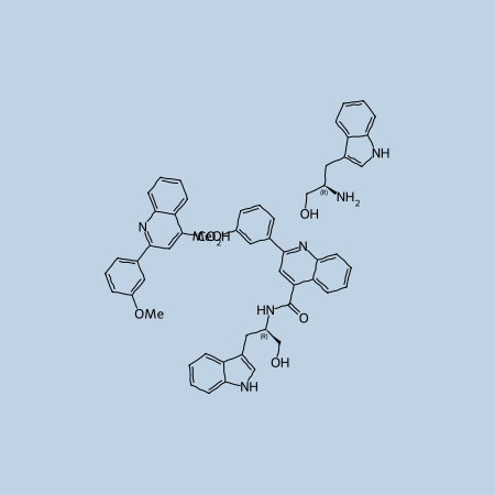 COc1cccc(-c2cc(C(=O)N[C@@H](CO)Cc3c[nH]c4ccccc34)c3ccccc3n2)c1.COc1cccc(-c2cc(C(=O)O)c3ccccc3n2)c1.N[C@@H](CO)Cc1c[nH]c2ccccc12